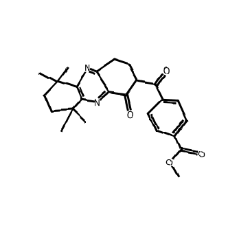 COC(=O)c1ccc(C(=O)C2CCc3nc4c(nc3C2=O)C(C)(C)CCC4(C)C)cc1